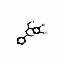 CC(C)CC(CC(c1ccccc1)C(C)C)c1ccc(O)c(O)c1